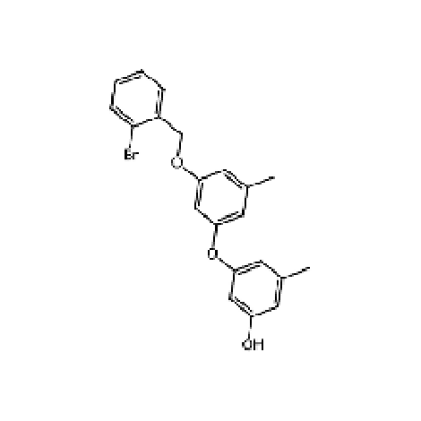 Cc1cc(O)cc(Oc2cc(C)cc(OCc3ccccc3Br)c2)c1